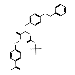 CC(=O)c1ccc(NOC(=O)[C@H](Cc2ccc(OCc3ccccc3)cc2)NC(=O)OC(C)(C)C)cc1